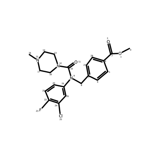 COC(=O)c1ccc(CN(C(=O)N2CCN(C)CC2)c2ccc(F)c(Cl)c2)cc1